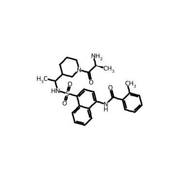 Cc1ccccc1C(=O)Nc1ccc(S(=O)(=O)NC(C)C2CCCN(C(=O)[C@H](C)N)C2)c2ccccc12